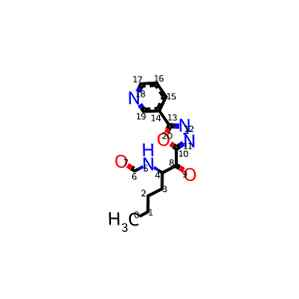 CCCCC(NC=O)C(=O)c1nnc(-c2cccnc2)o1